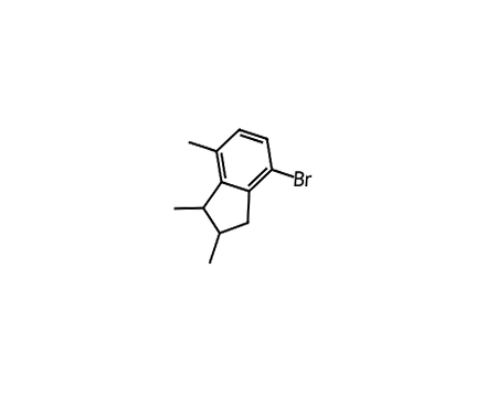 Cc1ccc(Br)c2c1C(C)C(C)C2